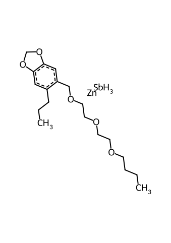 CCCCOCCOCCOCc1cc2c(cc1CCC)OCO2.[SbH3].[Zn]